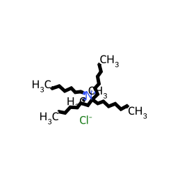 CCCCCCCC(CCCCCCC)(CCCCCCC)[N+](C)(C)CCCCCCC.[Cl-]